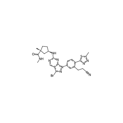 CNC(=O)[C@]1(C)CC[C@@H](Nc2ncc3c(Br)nn(-c4ccc(-c5nnc(C)s5)c(CCC#N)c4)c3n2)C1